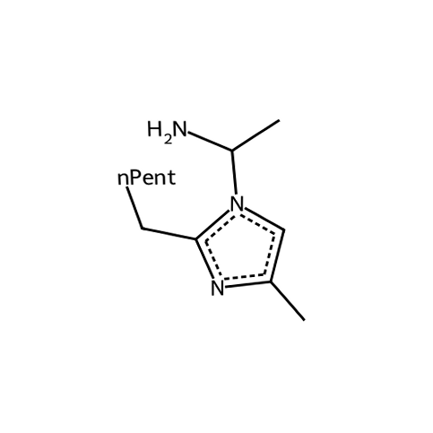 CCCCCCc1nc(C)cn1C(C)N